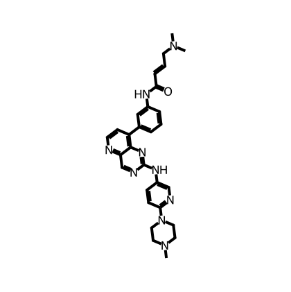 CN(C)C/C=C/C(=O)Nc1cccc(-c2ccnc3cnc(Nc4ccc(N5CCN(C)CC5)nc4)nc23)c1